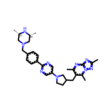 Cc1nc2nc(C)c(CC3CCN(c4cnc(-c5ccc(CN6C[C@@H](C)N[C@@H](C)C6)cc5)nc4)C3)c(C)n2n1